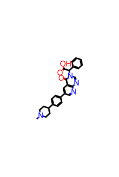 CN1CCC(c2ccc(-c3cnc4ncn(C(C(=O)O)c5ccccc5)c(=O)c4c3)cc2)CC1